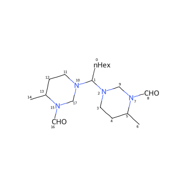 CCCCCCC(N1CCC(C)N(C=O)C1)N1CCC(C)N(C=O)C1